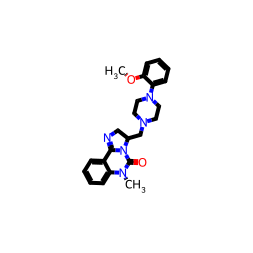 COc1ccccc1N1CCN(CC2CN=C3c4ccccc4N(C)C(=O)N32)CC1